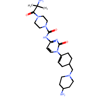 CC(C)(N)C(=O)N1CCN(C(=O)Nc2ccn(C3=CCC(CN4CCC(N)CC4)CC3)c(=O)n2)CC1